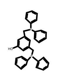 Oc1cc(CP(c2ccccc2)c2ccccc2)cc(CP(c2ccccc2)c2ccccc2)c1